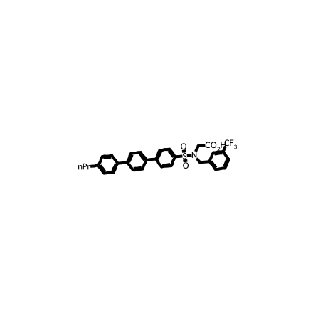 CCCc1ccc(-c2ccc(-c3ccc(S(=O)(=O)N(CC(=O)O)Cc4cccc(C(F)(F)F)c4)cc3)cc2)cc1